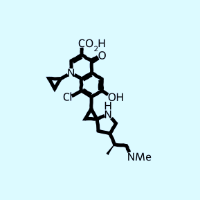 CNC[C@@H](C)C1CNC2(C1)CC2c1c(O)cc2c(=O)c(C(=O)O)cn(C3CC3)c2c1Cl